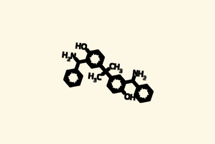 CC(C)(c1ccc(O)c(C(N)c2ccccc2)c1)c1ccc(O)c(C(N)c2ccccc2)c1